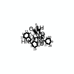 CN1C(=O)[C@@]23C[C@]4(c5c[nH]c6ccccc56)c5ccccc5N(S(=O)(=O)c5ccccc5)[C@@H]4N2C(=O)[C@@H]1SS3